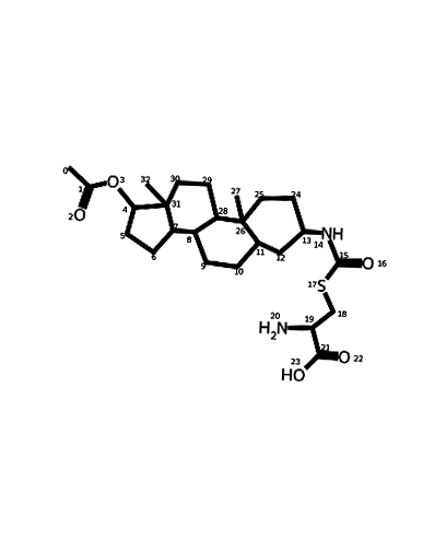 CC(=O)OC1CCC2C3CCC4CC(NC(=O)SCC(N)C(=O)O)CCC4(C)C3CCC12C